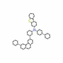 c1ccc(-c2ccc(N(c3cccc(-c4ccc5ccc6ccc(-c7ccccc7)cc6c5c4)c3)c3ccc4c(c3)sc3ccccc34)cc2)cc1